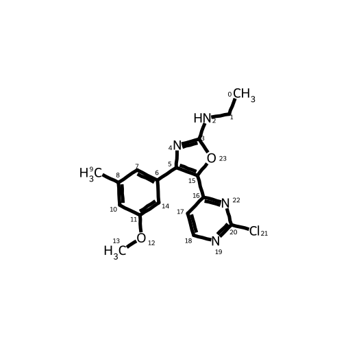 CCNc1nc(-c2cc(C)cc(OC)c2)c(-c2ccnc(Cl)n2)o1